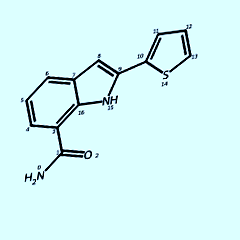 NC(=O)c1cccc2cc(-c3cccs3)[nH]c12